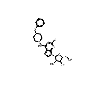 OC[C@H]1O[C@@H](n2cnc3c(NN4CCC(Oc5ccccc5)CC4)nc(Cl)nc32)C(O)C1O